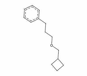 [c]1ccc(CCCOCC2CCC2)cc1